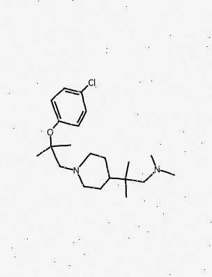 CN(C)CC(C)(C)C1CCN(CC(C)(C)Oc2ccc(Cl)cc2)CC1